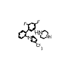 C1CNCCN1.Fc1ccc(-c2ccccc2-n2ccc(C(F)(F)F)c2)c(F)c1